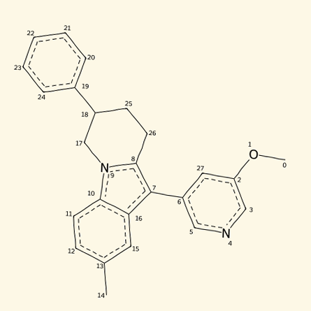 COc1cncc(-c2c3n(c4ccc(C)cc24)CC(c2ccccc2)CC3)c1